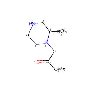 COC(=O)CN1CCNC[C@H]1C(F)(F)F